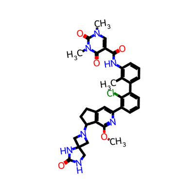 COc1nc(-c2cccc(-c3cccc(NC(=O)c4cn(C)c(=O)n(C)c4=O)c3C)c2Cl)cc2c1C(N1CC3(CNC(=O)N3)C1)CC2